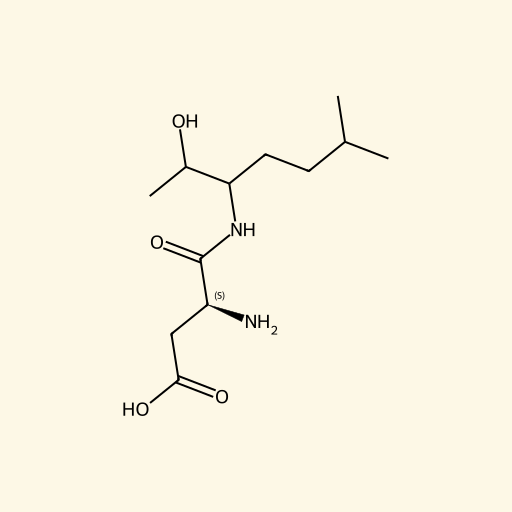 CC(C)CCC(NC(=O)[C@@H](N)CC(=O)O)C(C)O